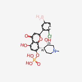 Bc1ccc(Cl)c(-c2cc(=O)c3c(O)cc(OP(=O)(O)O)c([C@H]4CCN(C)C[C@H]4O)c3o2)c1